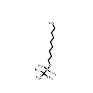 CC(C)(C)[Si](C)(C)OCCCCCCCCO